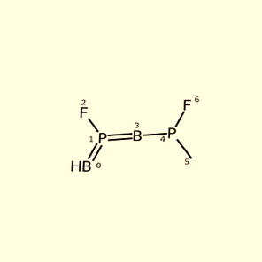 B=P(F)=BP(C)F